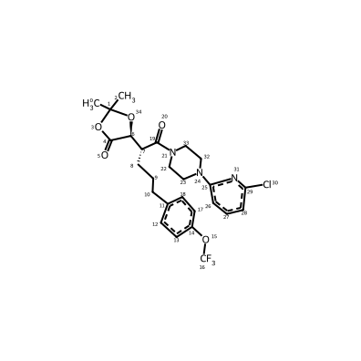 CC1(C)OC(=O)[C@H]([C@@H](CCCc2ccc(OC(F)(F)F)cc2)C(=O)N2CCN(c3cccc(Cl)n3)CC2)O1